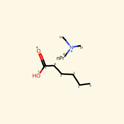 CCCCCC(=O)O.CCCN(C)C